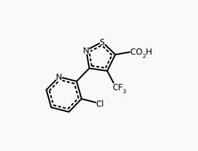 O=C(O)c1snc(-c2ncccc2Cl)c1C(F)(F)F